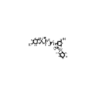 O=C(c1ccc(O)cc1OC[C@H](O)CN1CCC2(CC1)Cc1cc(Cl)ccc1O2)N1Cc2ccccc2C1